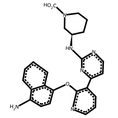 Nc1ccc(Oc2ncccc2-c2ccnc(N[C@@H]3CCCN(C(=O)O)C3)n2)c2ccccc12